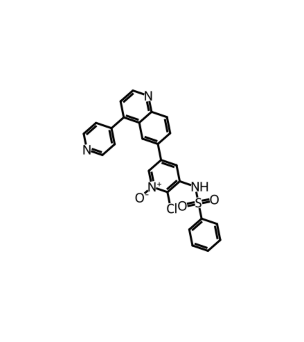 O=S(=O)(Nc1cc(-c2ccc3nccc(-c4ccncc4)c3c2)c[n+]([O-])c1Cl)c1ccccc1